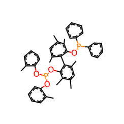 Cc1ccccc1OP(Oc1ccccc1C)Oc1c(C)c(C)cc(C)c1-c1c(C)cc(C)c(C)c1OP(c1ccccc1)c1ccccc1